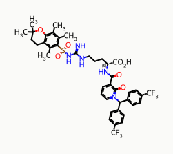 Cc1c(C)c(S(=O)(=O)NC(=N)NCCC[C@H](NC(=O)c2cccn(C(c3ccc(C(F)(F)F)cc3)c3ccc(C(F)(F)F)cc3)c2=O)C(=O)O)c(C)c2c1OC(C)(C)CC2